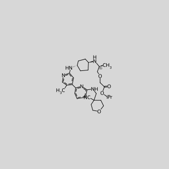 Cc1cnc(N[C@H]2CC[C@H](N[C@@H](C)COCC(=O)OC(C)C)CC2)cc1-c1cccc(NCC2(C#N)CCOCC2)n1